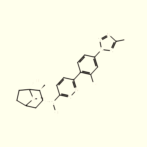 Cc1nnn(-c2ccc(-c3ccc(N(C)[C@@H]4CC5CC[C@@](C)([C@H]4F)N5C)nn3)c(O)c2)n1